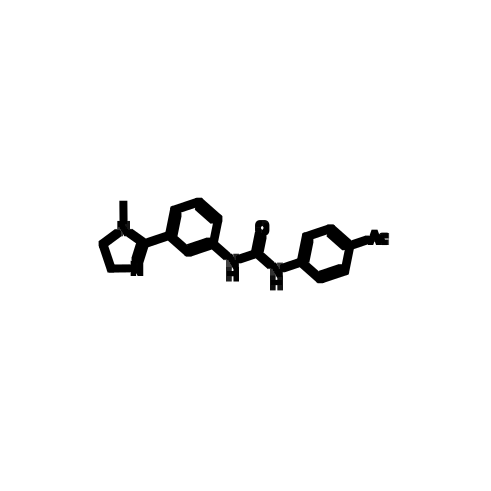 CC(=O)c1ccc(NC(=O)Nc2cccc(C3=NCCN3C)c2)cc1